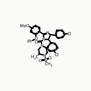 COc1ccc(C2=NC(c3ccc(Cl)cc3)C(c3ccc(Cl)cc3)N2C(=O)N2CCN(S(C)(=O)=O)C(C)C2)c(OC(C)C)c1